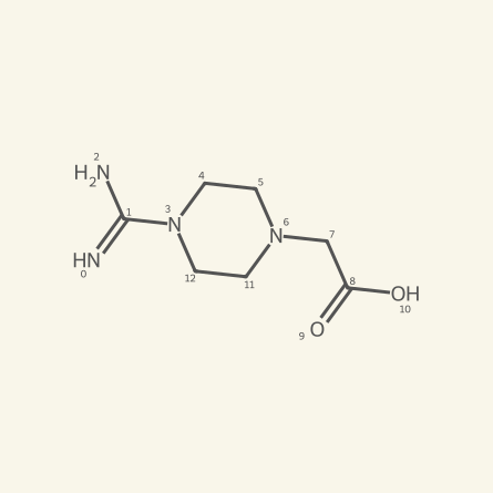 N=C(N)N1CCN(CC(=O)O)CC1